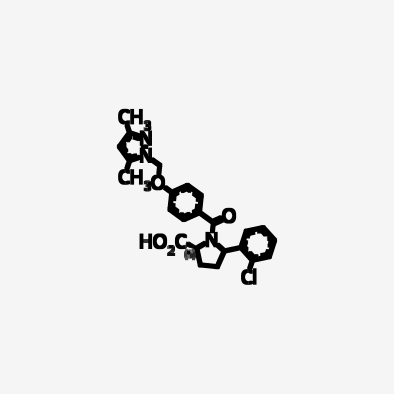 Cc1cc(C)n(COc2ccc(C(=O)N3C(c4ccccc4Cl)CC[C@H]3C(=O)O)cc2)n1